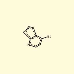 CCc1ccnc2sccc12